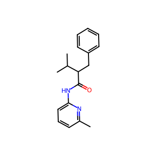 Cc1cccc(NC(=O)C(Cc2ccccc2)C(C)C)n1